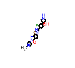 CN1CCC(NC(=O)c2ccc3c(c2)sc2nc(-c4ccc(C5(O)CCNCC5)cc4F)cn23)CC1